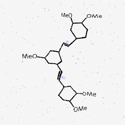 COC1CC(/C=C/C2CCC(OC)C(OC)C2)CC(/C=C/C2CCC(OC)C(OC)C2)C1